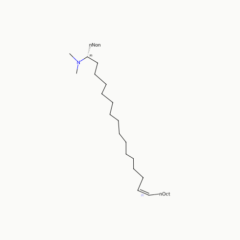 CCCCCCCC/C=C\CCCCCCCCCCCCC[C@@H](CCCCCCCCC)N(C)C